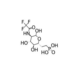 O=C(N[C@H]1C(O)O[C@H](CCP(=O)(O)O)[C@@H](O)[C@@H]1O)C(F)(F)F